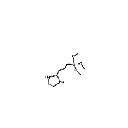 CO[Si](CCCC1NCCN1)(OC)OC